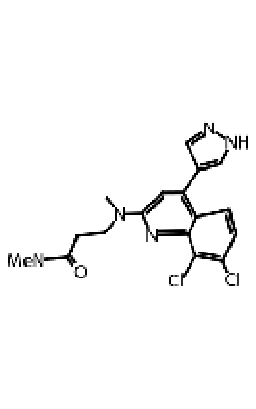 CNC(=O)CCN(C)c1cc(-c2cn[nH]c2)c2ccc(Cl)c(Cl)c2n1